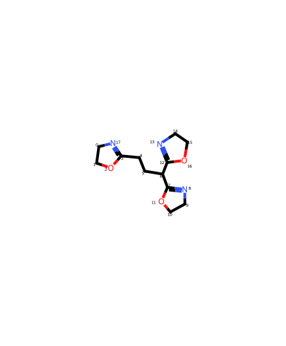 C1COC(CCC(C2=NCCO2)C2=NCCO2)=N1